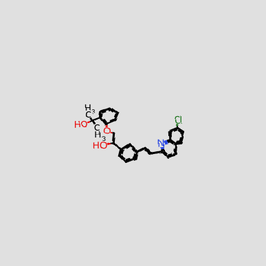 CC(C)(O)c1ccccc1OCC(O)c1cccc(C=Cc2ccc3ccc(Cl)cc3n2)c1